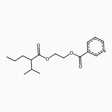 CCCC(C(=O)OCCOC(=O)c1cccnc1)C(C)C